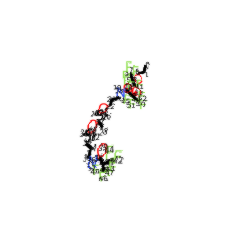 CCCOC(F)(C(F)(F)F)C(F)(F)OC(F)(C(=O)N(C)CCCO[Si](C)(C)C(C)O[Si](C)(C)CCCN(C)C(=O)C(C(F)(F)F)C(F)(F)F)C(F)(F)F